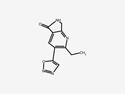 CCc1nc2c(cc1-c1cnno1)C(=O)NC2